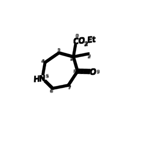 CCOC(=O)C1(C)CCNCCC1=O